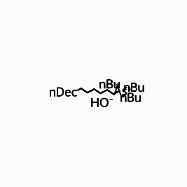 CCCCCCCCCCCCCCCC[As+](CCCC)(CCCC)CCCC.[OH-]